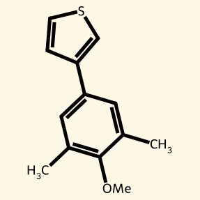 COc1c(C)cc(-c2ccsc2)cc1C